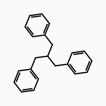 c1ccc(C[C](Cc2ccccc2)Cc2ccccc2)cc1